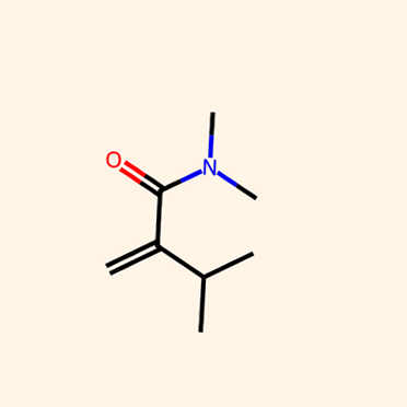 C=C(C(=O)N(C)C)C(C)C